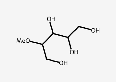 COC(CO)C(O)C(O)CO